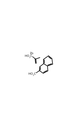 C=C(C)C(=O)O.O=C(O)c1ccc2ccccc2c1.[Zn]